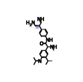 CNC(C(=O)Nc1ccc(/C(C=N)=C/N)cc1)c1ccc(N=C(C)C)c(C(C)C)c1